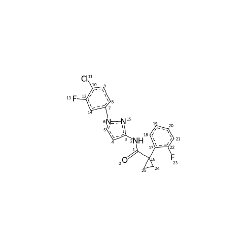 O=C(Nc1ccn(-c2ccc(Cl)c(F)c2)n1)C1(c2ccccc2F)CC1